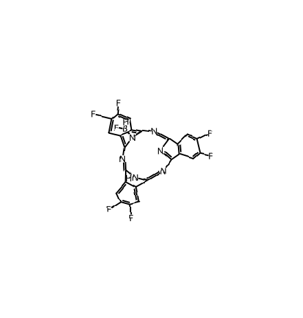 FBn1c2nc3nc(nc4[nH]c(nc1c1cc(F)c(F)cc12)c1cc(F)c(F)cc41)-c1cc(F)c(F)cc1-3